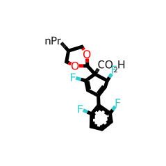 CCCC1COC(C2(C(=O)O)C(F)=CC(c3c(F)cccc3F)=CC2F)OC1